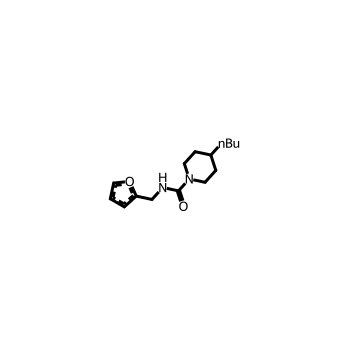 CCCCC1CCN(C(=O)NCc2ccco2)CC1